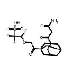 NC(=O)CC(=O)C12CC3CC(CC(C(=O)COC(F)C(F)(F)S(=O)(=O)O)(C3)C1)C2